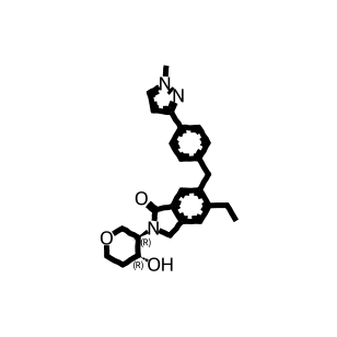 CCc1cc2c(cc1Cc1ccc(-c3ccn(C)n3)cc1)C(=O)N([C@@H]1COCC[C@H]1O)C2